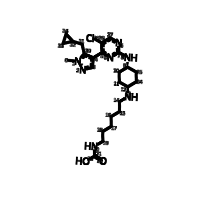 Cn1ncc(-c2nc(N[C@H]3CC[C@H](NCCCCCCNC(=O)O)CC3)ncc2Cl)c1CC1CC1